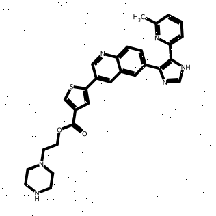 Cc1cccc(-c2[nH]cnc2-c2ccc3ncc(-c4cc(C(=O)OCCN5CCNCC5)cs4)cc3c2)n1